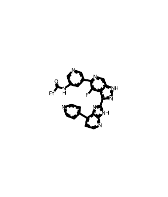 CCC(=O)Nc1cncc(-c2ncc3[nH]nc(-c4nc5c(-c6ccncc6)ccnc5[nH]4)c3c2F)c1